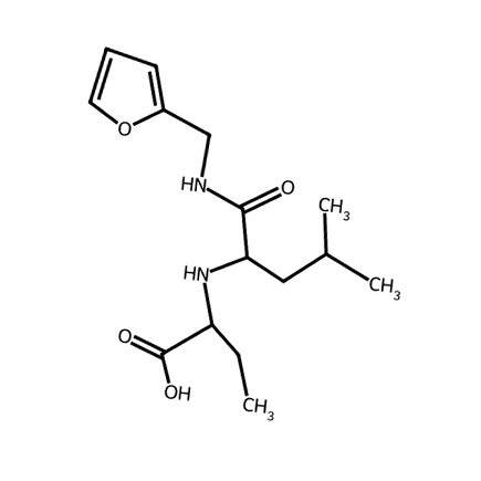 CCC(NC(CC(C)C)C(=O)NCc1ccco1)C(=O)O